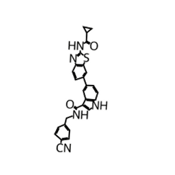 N#Cc1ccc(CNC(=O)c2c[nH]c3ccc(-c4ccc5nc(NC(=O)C6CC6)sc5c4)cc23)cc1